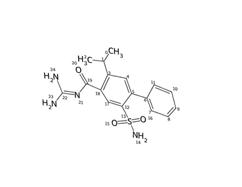 CC(C)c1cc(-c2ccccc2)c(S(N)(=O)=O)cc1C(=O)N=C(N)N